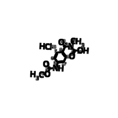 COC(=O)Nc1ccc(C(=O)N(C)C(=O)O)cc1.Cl